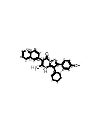 Cc1[nH]c2c(C3=CCCCC3)c(-c3ccc(O)cc3)nn2c(=O)c1-c1ccc2ncccc2c1